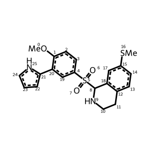 COc1ccc(S(=O)(=O)C2NCCc3ccc(SC)cc32)cc1-c1ccc[nH]1